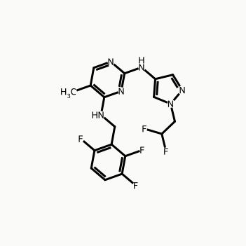 Cc1cnc(Nc2cnn(CC(F)F)c2)nc1NCc1c(F)ccc(F)c1F